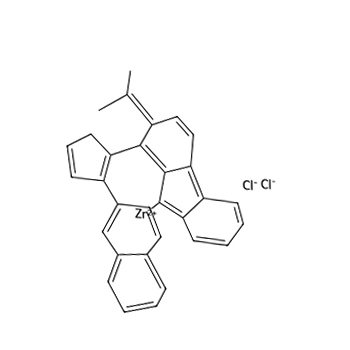 CC(C)=c1ccc2c(c1C1=C(c3ccc4ccccc4c3)C=CC1)[C]([Zr+2])=c1ccccc1=2.[Cl-].[Cl-]